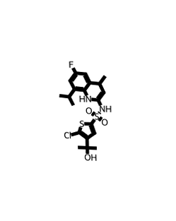 CC(C)c1cc(F)cc2c1NC(NS(=O)(=O)c1cc(C(C)(C)O)c(Cl)s1)=CC2C